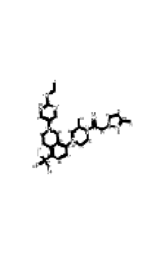 CCOc1ncc(N2CCc3c(C(F)(F)F)ccc(N4CCN(C(=O)Cn5ccc(C)n5)C(C)C4)c3C2)cn1